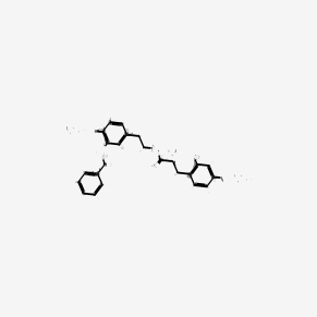 COc1ccc(CCC(=O)NCCc2ccc(OC)c(OCc3ccccc3)c2)c(OC)c1